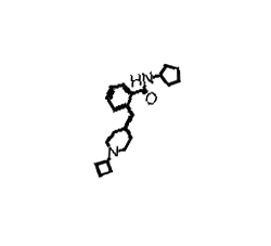 O=C(NC1CCCC1)c1ccccc1C=C1CCN(C2CCC2)CC1